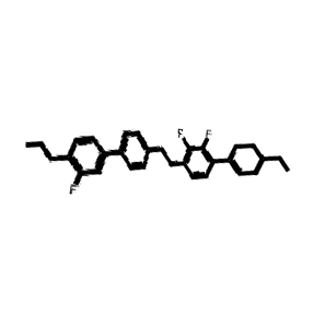 CCCc1ccc(-c2ccc(CCc3ccc(C4=CCC(CC)CC4)c(F)c3F)cc2)cc1F